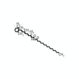 CCCCCCCCCCCCCCCC(=O)NC(=O)/C=C(C)/C=C/C=C(C)/C=C/C1=C(C)CCCC1(C)C